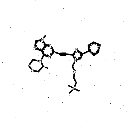 C[C@H]1COCCN1c1nc(C#Cc2nc(-c3ccccc3)cn2COCC[Si](C)(C)C)nc2c1ncn2C